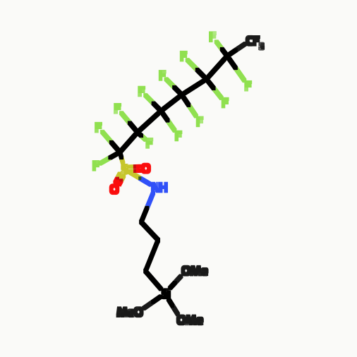 CO[Si](CCCNS(=O)(=O)C(F)(F)C(F)(F)C(F)(F)C(F)(F)C(F)(F)C(F)(F)C(F)(F)F)(OC)OC